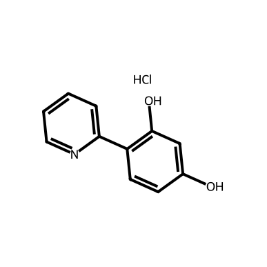 Cl.Oc1ccc(-c2ccccn2)c(O)c1